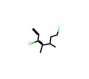 C=C/C(Cl)=C(/C)C(C)CCF